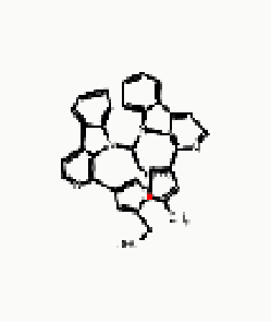 CCCCCCCCCCCC(n1c2ccccc2c2ccnc(-c3csc(C)c3)c21)n1c2ccccc2c2ccnc(-c3csc(CC=O)c3)c21